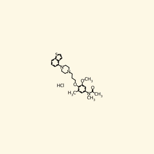 COc1cc(N(C)C(C)=O)cc(C)c1OCCCN1CCN(c2cccc3sccc23)CC1.Cl